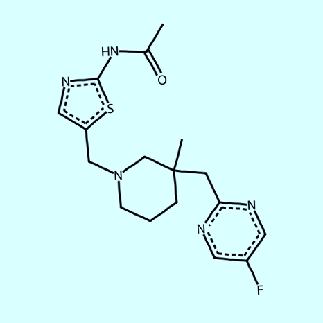 CC(=O)Nc1ncc(CN2CCCC(C)(Cc3ncc(F)cn3)C2)s1